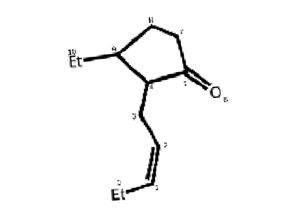 CC/C=C\CC1C(=O)CCC1CC